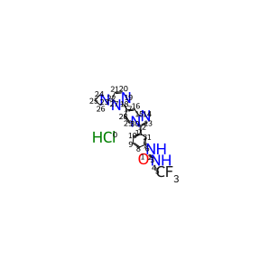 Cl.O=C(NCC(F)(F)F)Nc1cccc(-c2cnc3cc(-c4nccc(N5CCC5)n4)ccn23)c1